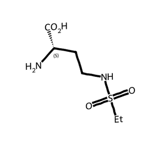 CCS(=O)(=O)NCC[C@H](N)C(=O)O